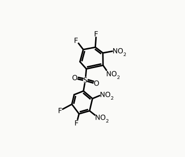 O=[N+]([O-])c1c(S(=O)(=O)c2cc(F)c(F)c([N+](=O)[O-])c2[N+](=O)[O-])cc(F)c(F)c1[N+](=O)[O-]